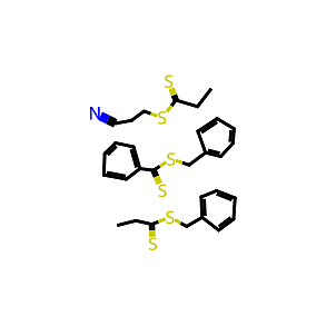 CCC(=S)SCCC#N.CCC(=S)SCc1ccccc1.S=C(SCc1ccccc1)c1ccccc1